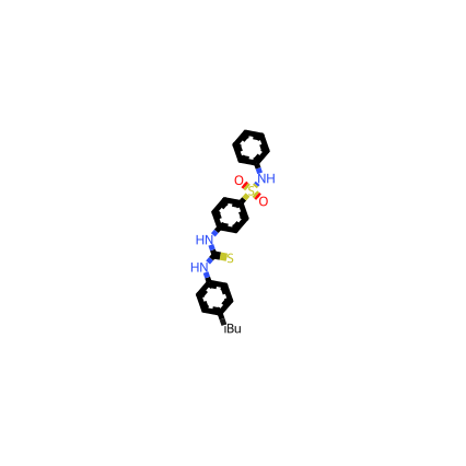 CCC(C)c1ccc(NC(=S)Nc2ccc(S(=O)(=O)Nc3ccccc3)cc2)cc1